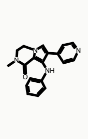 CN1CCn2cc(-c3ccncc3)c(Nc3ccccc3)c2C1=O